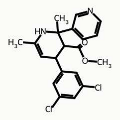 COC(=O)C1C(c2cc(Cl)cc(Cl)c2)C=C(C)NC1(C)c1cccnc1